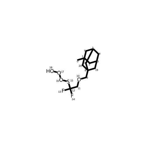 CC12CC3CC(C1)CC(COCC(F)(F)SOOO)(C3)C2